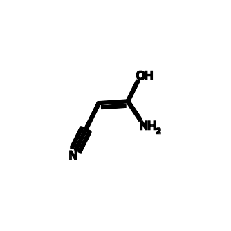 N#C/C=C(\N)O